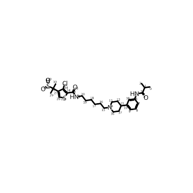 CC(C)C(=O)Nc1cccc(C2CCN(CCCCCCNC(=O)c3scc(C(C)(C)[SH](=O)=O)c3Cl)CC2)c1